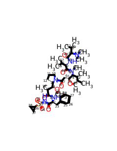 CC[C@H](C)C([C@@H](CC(=O)N1CCC[C@H]1[C@H](OC)[C@@H](C)C(=O)N[C@@H](Cc1ccccc1)C(=O)NS(=O)(=O)C1CC1)OC)N(C)C(=O)[C@@H](NC(=O)C(C(C)C)N(C)C)C(C)C